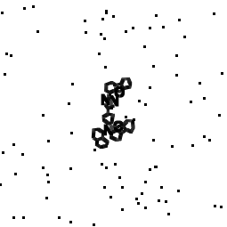 c1ccc2c(N(c3ccc(-c4cnc(-c5cccc6c5oc5ccccc56)nc4)cc3)c3cccc4c3oc3ccccc34)cccc2c1